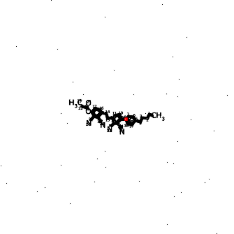 CCCCCC12CCC(c3ccc(CCc4ccc(OC(=O)CC)c(C#N)c4C#N)c(C#N)c3C#N)(CC1)CC2